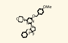 COc1ccc(COc2cc(N3CCOCC3)nc(N3CCC(F)(F)[C@@H]3Cc3ccccc3)n2)cc1